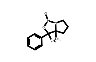 CC1(c2ccccc2)OP(Cl)N2CCCC21C